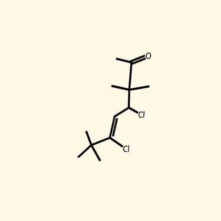 CC(=O)C(C)(C)C(Cl)C=C(Cl)C(C)(C)C